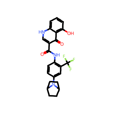 O=C(Nc1ccc(N2C3CCC2CC3)cc1C(F)(F)F)c1c[nH]c2cccc(O)c2c1=O